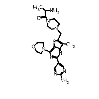 Cc1c(CN2CCN(C(=O)C(C)N)CC2)sc2c(N3CCOCC3)nc(-c3cnc(N)nc3)nc12